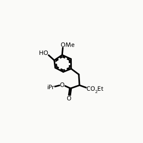 CCOC(=O)C(Cc1ccc(O)c(OC)c1)C(=O)OC(C)C